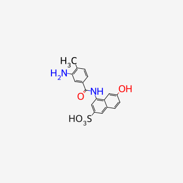 Cc1ccc(C(=O)Nc2cc(S(=O)(=O)O)cc3ccc(O)cc23)cc1N